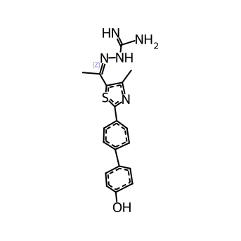 C/C(=N/NC(=N)N)c1sc(-c2ccc(-c3ccc(O)cc3)cc2)nc1C